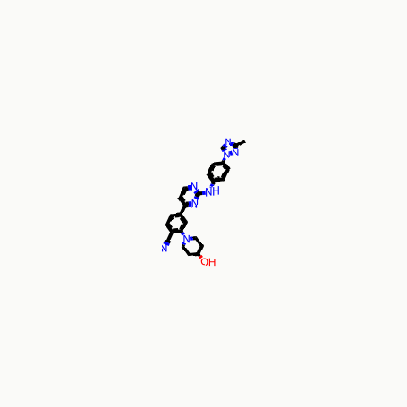 Cc1ncn(-c2ccc(Nc3nccc(-c4ccc(C#N)c(N5CCC(O)CC5)c4)n3)cc2)n1